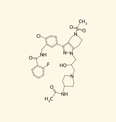 CC(=O)NC1CCN(CC(O)Cn2nc(-c3ccc(Cl)c(CNC(=O)c4ccccc4F)c3)c3c2CCN(S(C)(=O)=O)C3)CC1